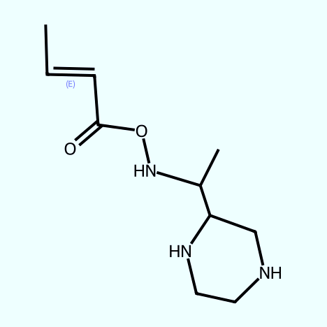 C/C=C/C(=O)ONC(C)C1CNCCN1